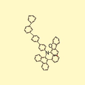 c1ccc(-c2cccc(-c3ccc(-c4ccc(N(c5c(-c6ccccc6)c6ccccc6c6ccccc56)c5cccc6c5oc5ccccc56)cc4)cc3)c2)cc1